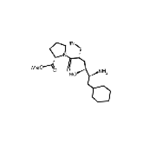 COC(=O)[C@@H]1CCCN1C(=O)[C@H](CC(C)C)C[C@H](O)[C@@H](N)CC1CCCCC1